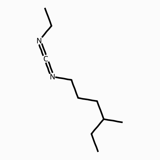 CCN=C=NCCCC(C)CC